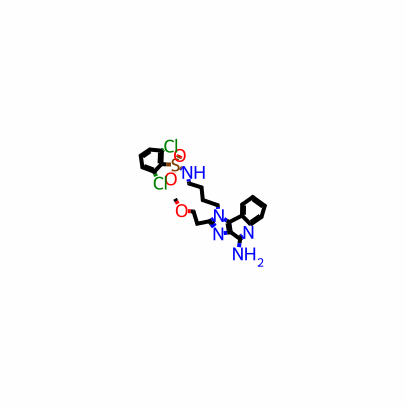 COCCc1nc2c(N)nc3ccccc3c2n1CCCCNS(=O)(=O)c1c(Cl)cccc1Cl